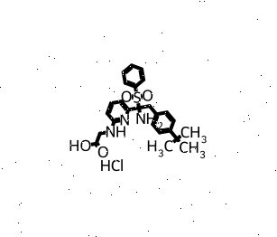 CC(C)(C)c1ccc(CC(N)(c2cccc(NCC(=O)O)n2)S(=O)(=O)c2ccccc2)cc1.Cl